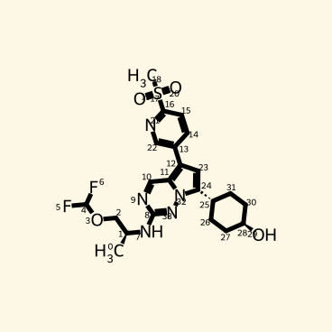 C[C@@H](COC(F)F)Nc1ncc2c(-c3ccc(S(C)(=O)=O)nc3)cc([C@H]3CC[C@H](O)CC3)n2n1